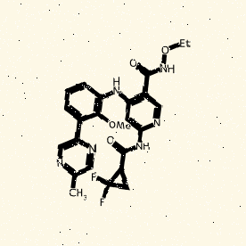 CCONC(=O)c1cnc(NC(=O)C2CC2(F)F)cc1Nc1cccc(-c2cnc(C)cn2)c1OC